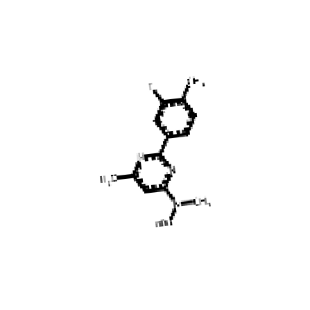 CCCCN(C)c1cc(C)nc(-c2ccc(C)c(F)c2)n1